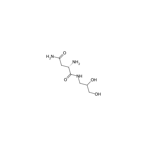 NC(=O)C[C@H](N)C(=O)NCC(O)CO